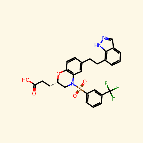 O=C(O)CC[C@H]1CN(S(=O)(=O)c2cccc(C(F)(F)F)c2)c2cc(CCc3cccc4cn[nH]c34)ccc2O1